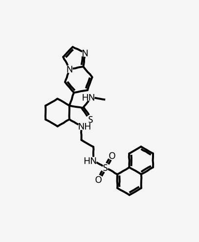 CNC(=S)C1(c2ccc3nccn3c2)CCCCC1NCCNS(=O)(=O)c1cccc2ccccc12